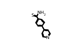 NC(=S)c1ccc(-c2ccncc2)cc1